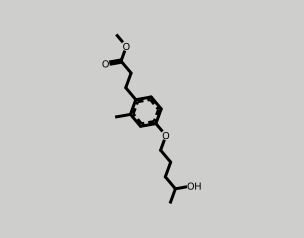 COC(=O)CCc1ccc(OCCCC(C)O)cc1C